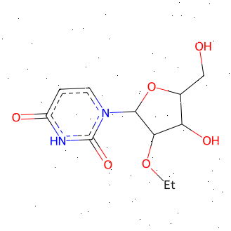 CCOC1C(O)C(CO)OC1n1ccc(=O)[nH]c1=O